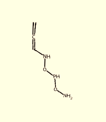 C=C=CNOPON